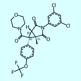 C[C@]12C(=O)N(c3cc(Cl)cc(Cl)c3)C(=O)[C@H]1[C@@]2(C(=O)N1CCOCC1)c1ccc(OC(F)(F)F)cc1